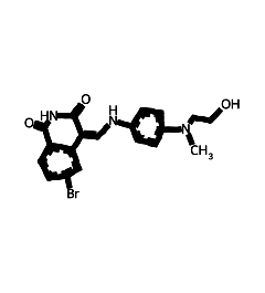 CN(CCO)c1ccc(NC=C2C(=O)NC(=O)c3ccc(Br)cc32)cc1